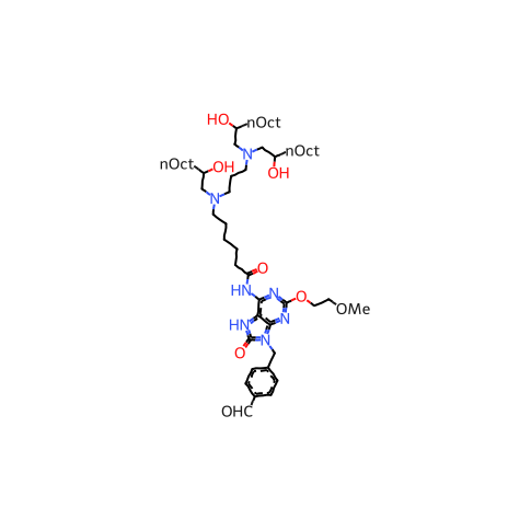 CCCCCCCCC(O)CN(CCCCCC(=O)Nc1nc(OCCOC)nc2c1[nH]c(=O)n2Cc1ccc(C=O)cc1)CCCN(CC(O)CCCCCCCC)CC(O)CCCCCCCC